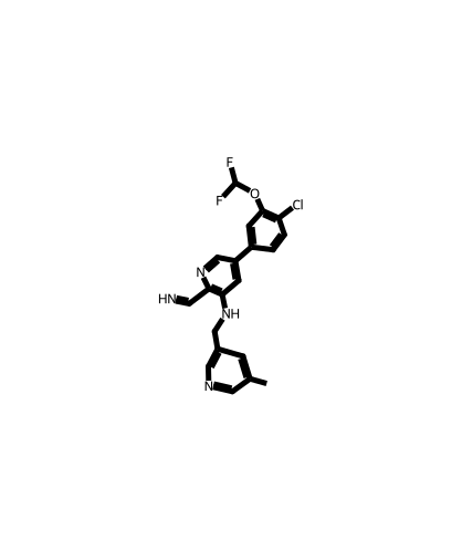 Cc1cncc(CNc2cc(-c3ccc(Cl)c(OC(F)F)c3)cnc2C=N)c1